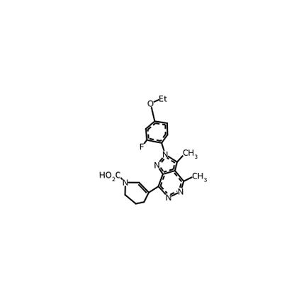 CCOc1ccc(-n2nc3c(C4=CN(C(=O)O)CCC4)nnc(C)c3c2C)c(F)c1